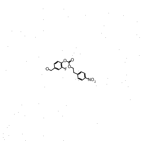 [O]Cc1ccc(OC(=O)OCCc2ccc([N+](=O)[O-])cc2)c(F)c1